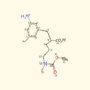 Cc1cc(N)cc(CC(CCCN(C)C(=O)OC(C)(C)C)C(=O)O)c1